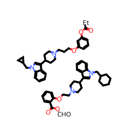 CCC(=O)Oc1cccc(OCCCN2CCC(c3cn(CC4CC4)c4ccccc34)CC2)c1.O=COC(=O)c1ccccc1OCCN1CCC(c2cn(CC3CCCCC3)c3ccccc23)CC1